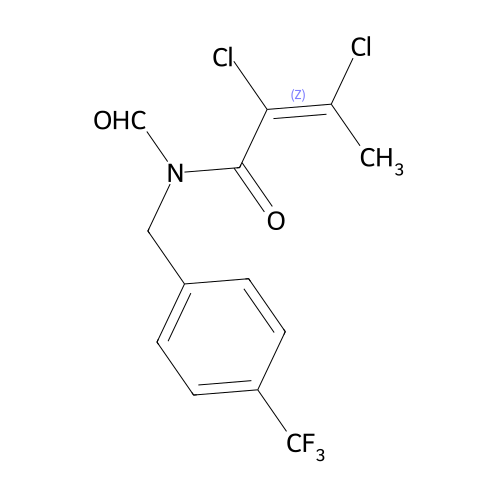 C/C(Cl)=C(/Cl)C(=O)N(C=O)Cc1ccc(C(F)(F)F)cc1